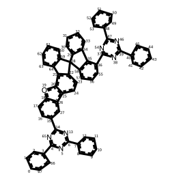 c1ccc(-c2nc(-c3ccccc3)nc(-c3ccc4oc5c6c(ccc5c4c3)C3(c4ccccc4-c4c(-c5nc(-c7ccccc7)nc(-c7ccccc7)n5)cccc43)c3ccccc3-6)n2)cc1